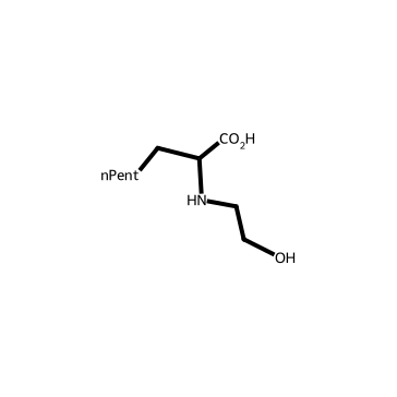 CCCCCCC(NCCO)C(=O)O